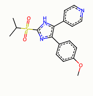 COc1ccc(-c2nc(S(=O)(=O)C(C)C)[nH]c2-c2ccncc2)cc1